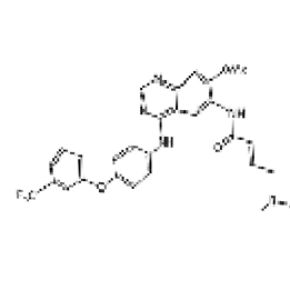 COc1cc2ncnc(Nc3ccc(Oc4cccc(C(F)(F)F)c4)cc3)c2cc1NC(=O)/C=C/CN(C)C